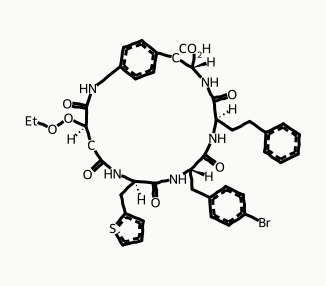 CCOO[C@@H]1CC(=O)N[C@H](Cc2cccs2)C(=O)N[C@@H](Cc2ccc(Br)cc2)C(=O)N[C@H](CCc2ccccc2)C(=O)N[C@@H](C(=O)O)Cc2ccc(cc2)NC1=O